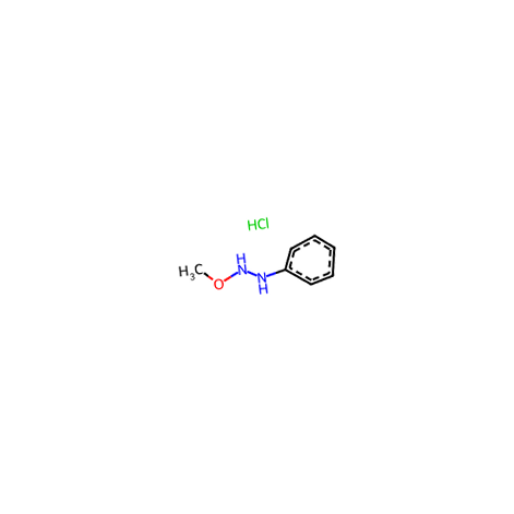 CONNc1ccccc1.Cl